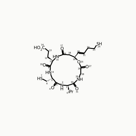 CC(C)[C@H]1NC(=O)[C@H](CS)NC(=O)[C@@H](CCC(=O)O)NC(=O)C[C@@H](/C=C/CCS)OC(=O)CNC1=O